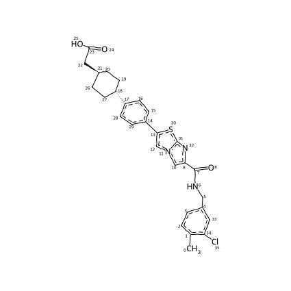 Cc1ccc(CNC(=O)c2cn3cc(-c4ccc([C@H]5CC[C@H](CC(=O)O)CC5)cc4)sc3n2)cc1Cl